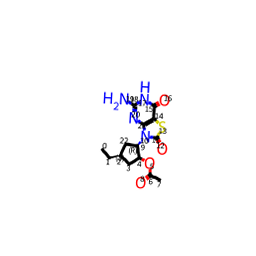 CC[C@@H]1CC(OC(C)=O)[C@H](n2c(=O)sc3c(=O)[nH]c(N)nc32)C1